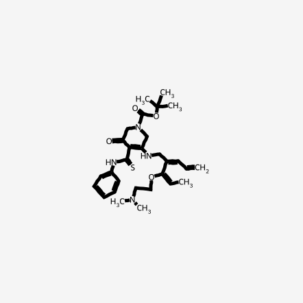 C=C/C=C(CNC1=C(C(=S)Nc2ccccc2)C(=O)CN(C(=O)OC(C)(C)C)C1)\C(=C/C)OCCN(C)C